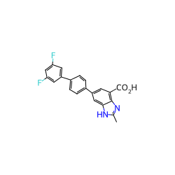 Cc1nc2c(C(=O)O)cc(-c3ccc(-c4cc(F)cc(F)c4)cc3)cc2[nH]1